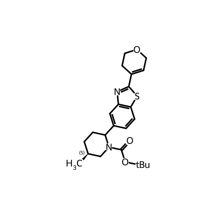 C[C@H]1CCC(c2ccc3sc(C4=CCOCC4)nc3c2)N(C(=O)OC(C)(C)C)C1